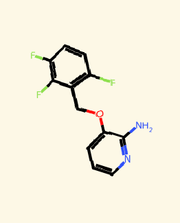 Nc1ncccc1OCc1c(F)ccc(F)c1F